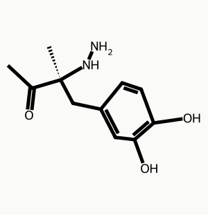 CC(=O)[C@](C)(Cc1ccc(O)c(O)c1)NN